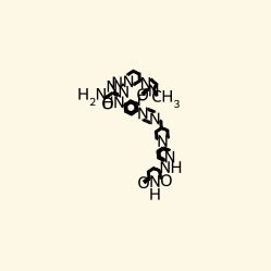 CN1CCN(C2CCCN(c3nnc(C(N)=O)c(Nc4ccc(N5CCN(CC6CCN(c7ccc(NC8CCC(=O)NC8=O)nc7)CC6)CC5)c(F)c4)n3)C2)C1=O